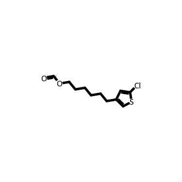 O=[C]OCCCCCCc1csc(Cl)c1